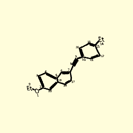 CCOc1ccc2cc(C#Cc3ccc(CC)cc3)ccc2c1